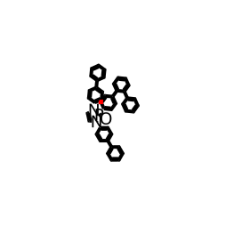 O=P1(c2ccc(-c3ccccc3-c3ccccc3)cc2)N(c2ccc(-c3ccccc3)cc2)C=CN1c1ccc(-c2ccccc2)cc1